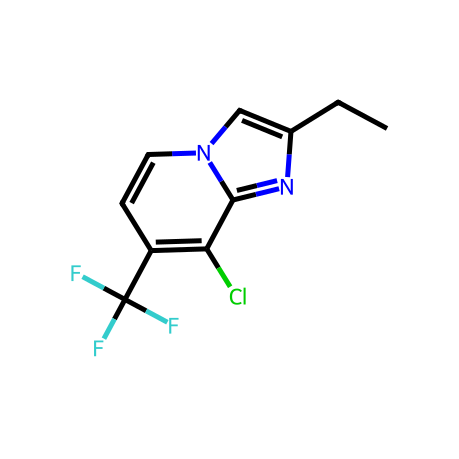 CCc1cn2ccc(C(F)(F)F)c(Cl)c2n1